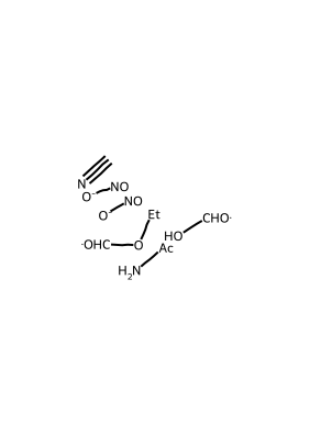 C#N.CC(N)=O.CCO[C]=O.O=[C]O.O=[NH+][O-].O=[NH+][O-]